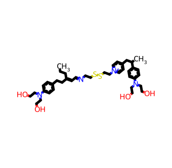 CCC/C(=C\C=N\CCSSCC[n+]1ccc(CC(C)c2ccc(N(CCO)CCO)cc2)cc1)CCc1ccc(N(CCO)CCO)cc1